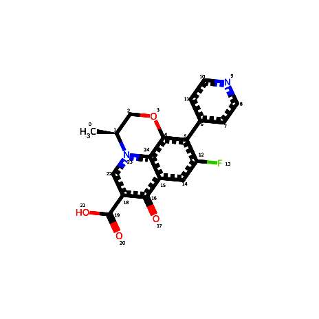 C[C@H]1COc2c(-c3ccncc3)c(F)cc3c(=O)c(C(=O)O)cn1c23